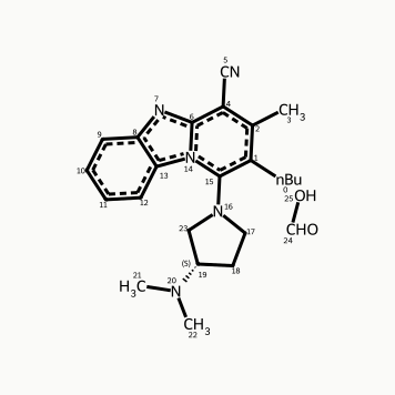 CCCCc1c(C)c(C#N)c2nc3ccccc3n2c1N1CC[C@H](N(C)C)C1.O=CO